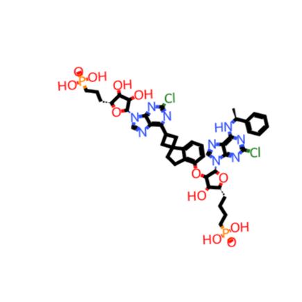 C[C@H](Nc1nc(Cl)nc2c1ncn2[C@@H]1O[C@H](CCCCP(=O)(O)O)C(O)C1Oc1cccc2c1CCC21CC(c2nc(Cl)nc3c2ncn3[C@@H]2O[C@H](CCCP(=O)(O)O)C(O)C2O)C1)c1ccccc1